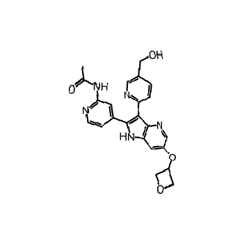 CC(=O)Nc1cc(-c2[nH]c3cc(OC4COC4)cnc3c2-c2ccc(CO)cn2)ccn1